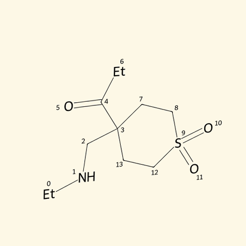 CCNCC1(C(=O)CC)CCS(=O)(=O)CC1